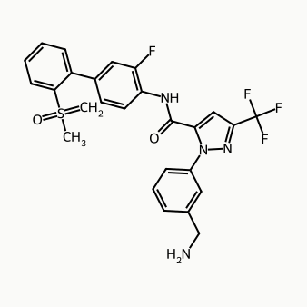 C=S(C)(=O)c1ccccc1-c1ccc(NC(=O)c2cc(C(F)(F)F)nn2-c2cccc(CN)c2)c(F)c1